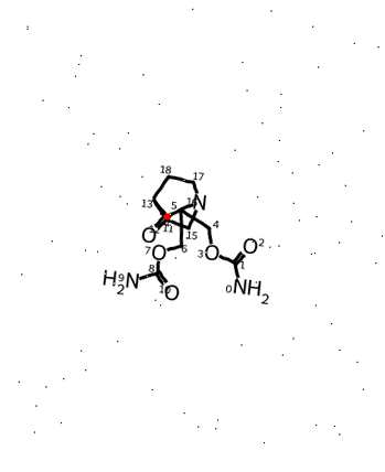 NC(=O)OCC1(COC(N)=O)C(=O)C2CCN1CC2